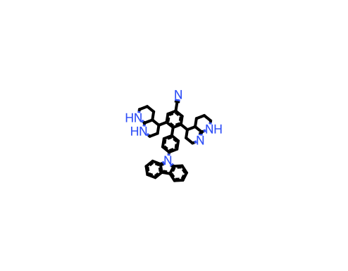 N#Cc1cc(C2CCN=C3NCCCC32)c(-c2ccc(-n3c4ccccc4c4ccccc43)cc2)c(C2CCNC3NCCCC32)c1